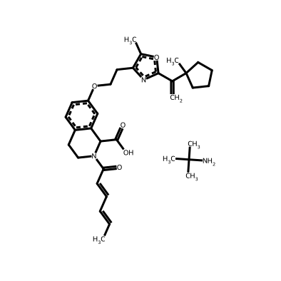 C=C(c1nc(CCOc2ccc3c(c2)C(C(=O)O)N(C(=O)C=CC=CC)CC3)c(C)o1)C1(C)CCCC1.CC(C)(C)N